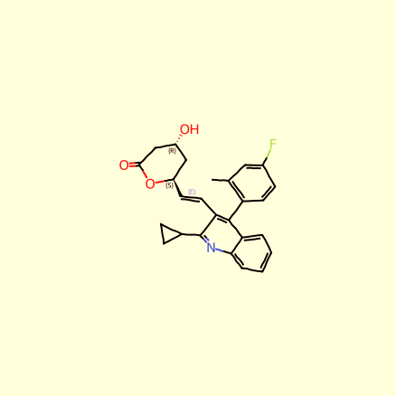 Cc1cc(F)ccc1-c1c(/C=C/[C@@H]2C[C@@H](O)CC(=O)O2)c(C2CC2)nc2ccccc12